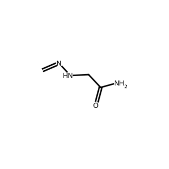 C=NNCC(N)=O